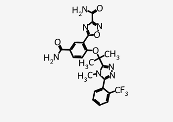 Cn1c(-c2ccccc2C(F)(F)F)nnc1C(C)(C)Oc1ccc(C(N)=O)cc1-c1nc(C(N)=O)no1